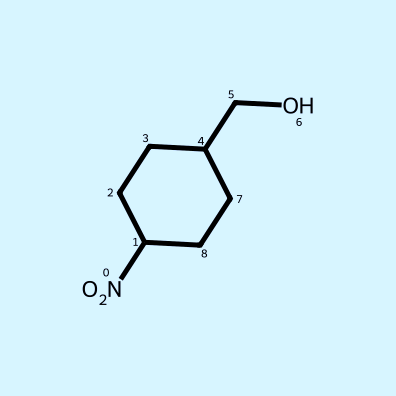 O=[N+]([O-])C1CCC(CO)CC1